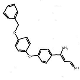 N=C/C=C(\N)c1ccc(Oc2ccc(OCc3ccccc3)cc2)cc1